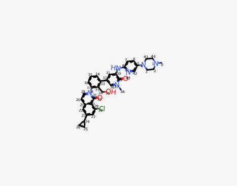 CN1CCN(c2ccc(Nc3cc(-c4cccc(-n5ccc6cc(C7CC7)cc(Cl)c6c5=O)c4CO)cn(C)c3=O)nc2)CC1